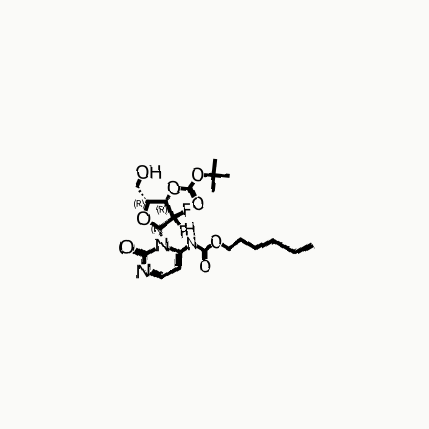 CCCCCCOC(=O)Nc1ccnc(=O)n1[C@@H]1O[C@H](CO)[C@@H](OC(=O)OC(C)(C)C)C1(F)F